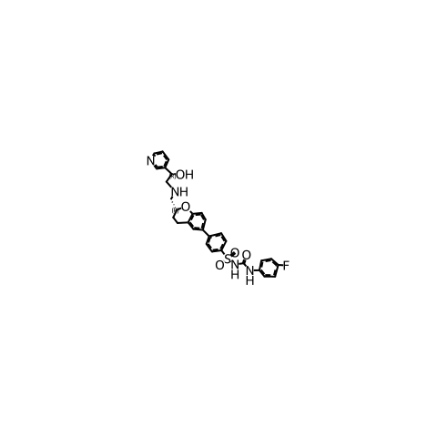 O=C(Nc1ccc(F)cc1)NS(=O)(=O)c1ccc(-c2ccc3c(c2)CC[C@H](CNC[C@H](O)c2cccnc2)O3)cc1